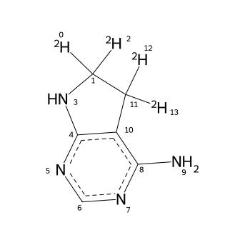 [2H]C1([2H])Nc2ncnc(N)c2C1([2H])[2H]